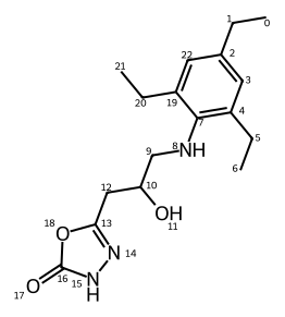 CCc1cc(CC)c(NCC(O)Cc2n[nH]c(=O)o2)c(CC)c1